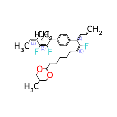 C=C/C=C(\C(F)=C/CCCCCC1OCC(C)CO1)c1ccc(C(=C)/C(F)=C(F)\C(C)=C/C)cc1